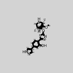 COC1[C@@H](Oc2nnc(-c3ccc(-c4cn[nH]c4)cc3O)s2)[C@@]2(C)CC[C@]1(C)NC2